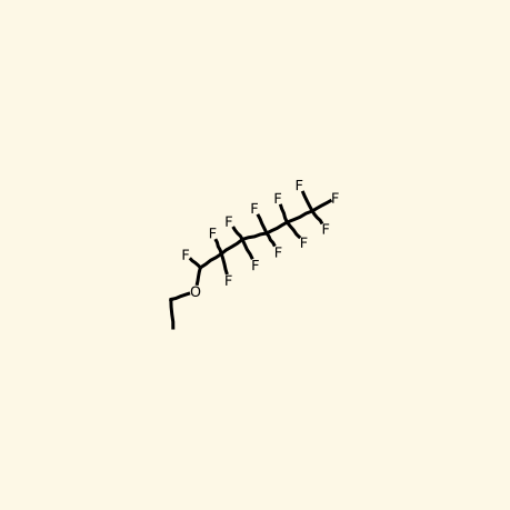 CCOC(F)C(F)(F)C(F)(F)C(F)(F)C(F)(F)C(F)(F)F